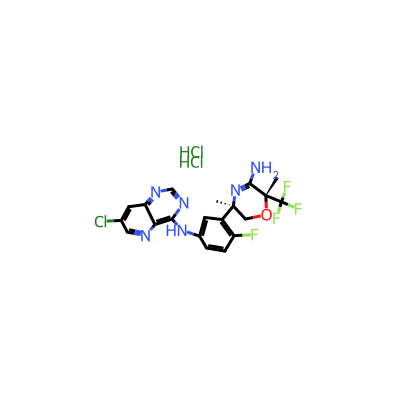 C[C@@]1(c2cc(Nc3ncnc4cc(Cl)cnc34)ccc2F)CO[C@@](C)(C(F)(F)F)C(N)=N1.Cl.Cl